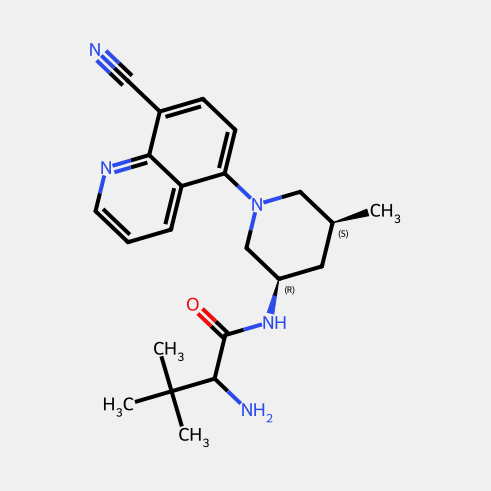 C[C@H]1C[C@@H](NC(=O)C(N)C(C)(C)C)CN(c2ccc(C#N)c3ncccc23)C1